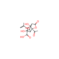 C=C(C)C1C(O)(C(=O)O)C2C(C)(O)C3C(=O)OC2(C(C)=O)C31O